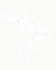 COC(=O)c1ccc([C@@H]2CN(C)CCN2Cc2c(OC)cc(C)c3c2ccn3C(=O)OC(C)(C)C)cc1